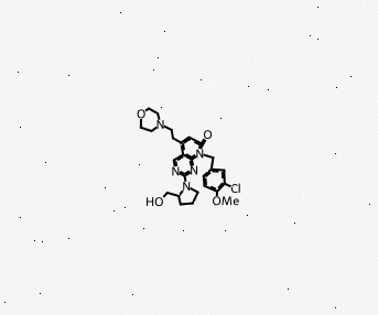 COc1ccc(Cn2c(=O)cc(CCN3CCOCC3)c3cnc(N4CCCC4CO)nc32)cc1Cl